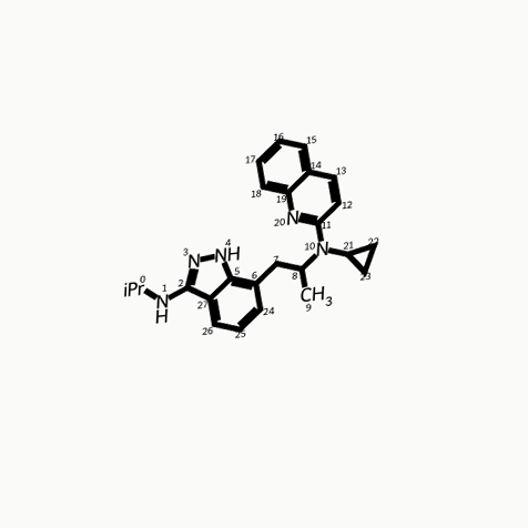 CC(C)Nc1n[nH]c2c(CC(C)N(c3ccc4ccccc4n3)C3CC3)cccc12